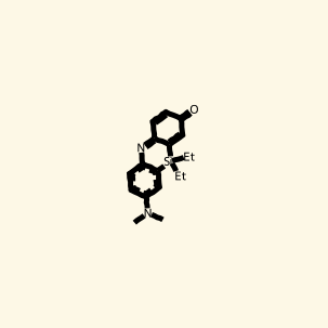 CC[Si]1(CC)C2=CC(=O)C=CC2=Nc2ccc(N(C)C)cc21